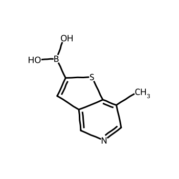 Cc1cncc2cc(B(O)O)sc12